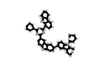 c1ccc(-c2nc(-c3ccc4oc5ccc(-c6ccc7c(c6)c6ccccc6n7-c6ccccc6)cc5c4c3)nc(-c3cccc4c3oc3ccccc34)n2)cc1